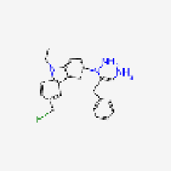 CCn1c2ccc(CF)cc2c2cc(N(N)/C(=C\N)Cc3ccccc3)ccc21